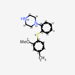 COc1cc(C)ccc1Sc1ccccc1N1CCNCC1